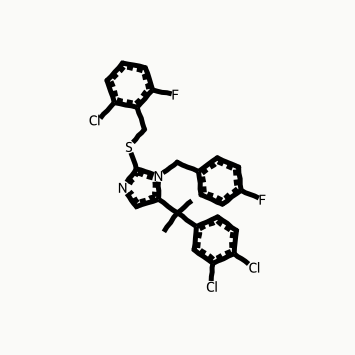 CC(C)(c1ccc(Cl)c(Cl)c1)c1cnc(SCc2c(F)cccc2Cl)n1Cc1ccc(F)cc1